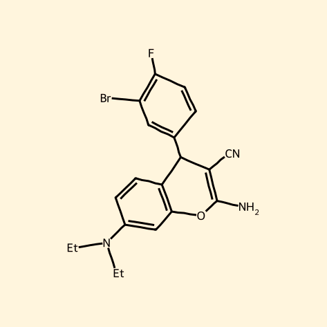 CCN(CC)c1ccc2c(c1)OC(N)=C(C#N)C2c1ccc(F)c(Br)c1